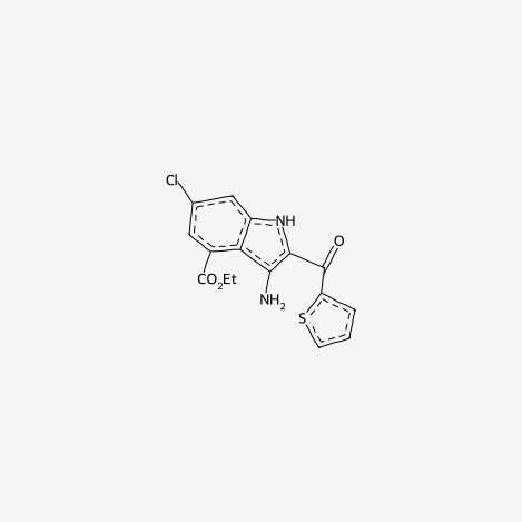 CCOC(=O)c1cc(Cl)cc2[nH]c(C(=O)c3cccs3)c(N)c12